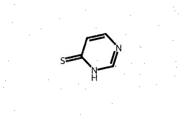 S=c1ccn[c][nH]1